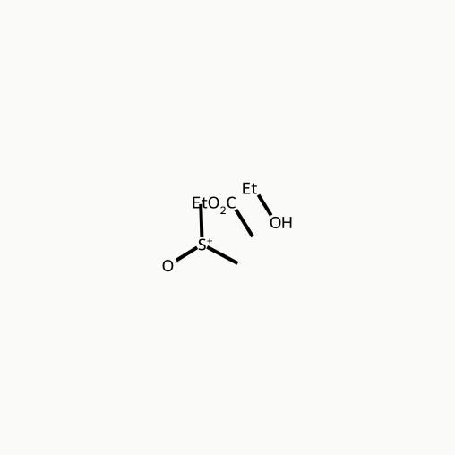 CCO.CCOC(C)=O.C[S+](C)[O-]